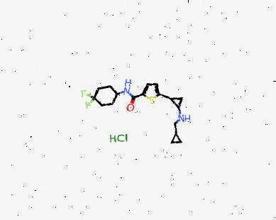 Cl.O=C(NC1CCC(F)(F)CC1)c1ccc(C2CC2NCC2CC2)s1